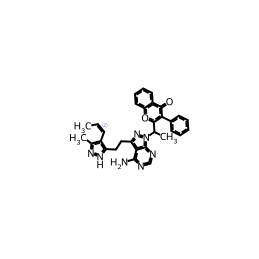 C/C=C\c1c(C)n[nH]c1CCc1nn(C(C)c2oc3ccccc3c(=O)c2-c2ccccc2)c2ncnc(N)c12